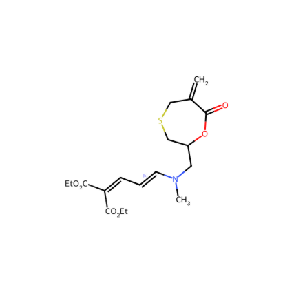 C=C1CSCC(CN(C)/C=C/C=C(C(=O)OCC)C(=O)OCC)OC1=O